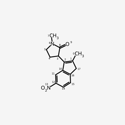 CC1=C(C2CCN(C)C2=O)c2cc([N+](=O)[O-])ccc2C1